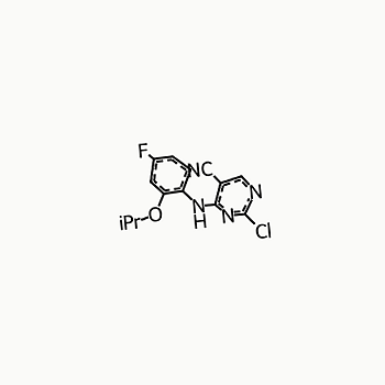 CC(C)Oc1cc(F)ccc1Nc1nc(Cl)ncc1C#N